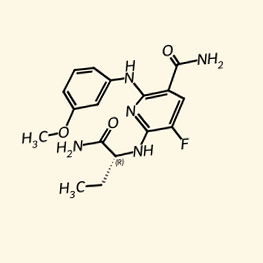 CC[C@@H](Nc1nc(Nc2cccc(OC)c2)c(C(N)=O)cc1F)C(N)=O